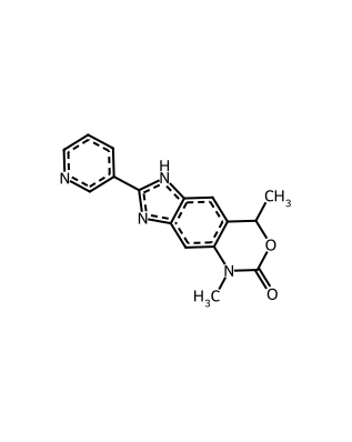 CC1OC(=O)N(C)c2cc3nc(-c4cccnc4)[nH]c3cc21